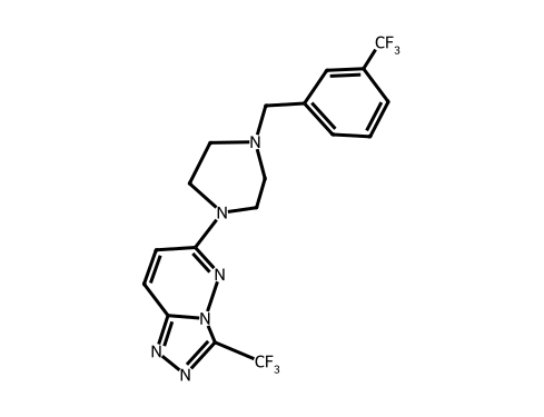 FC(F)(F)c1cccc(CN2CCN(c3ccc4nnc(C(F)(F)F)n4n3)CC2)c1